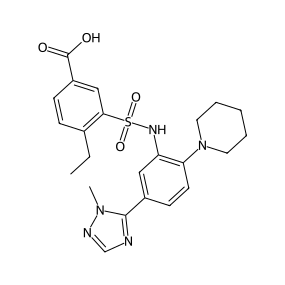 CCc1ccc(C(=O)O)cc1S(=O)(=O)Nc1cc(-c2ncnn2C)ccc1N1CCCCC1